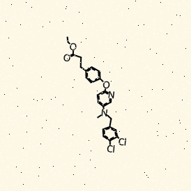 CCOC(=O)CCc1ccc(Oc2ccc(N(C)Cc3ccc(Cl)c(Cl)c3)cn2)cc1